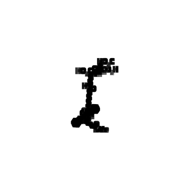 CNC(=O)CCCC(=O)NC(Cc1ccccc1)C(=O)NC(Cc1ccccc1)C(=O)NCCCCCCCC(=O)NCCCCC(NC(=O)NC(CCC(=O)O)C(=O)O)C(=O)O